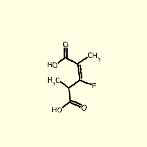 CC(C(=O)O)=C(F)C(C)C(=O)O